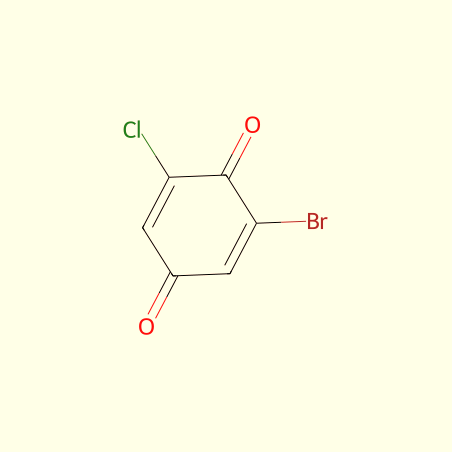 O=C1C=C(Cl)C(=O)C(Br)=C1